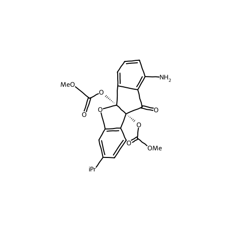 COC(=O)O[C@@]12Oc3cc(C(C)C)ccc3[C@]1(OC(=O)OC)C(=O)c1c(N)cccc12